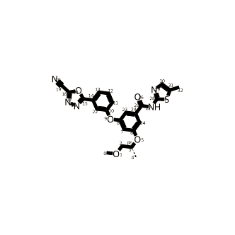 COC[C@@H](C)Oc1cc(Oc2cccc(-c3nnc(C#N)o3)c2)cc(C(=O)Nc2ncc(C)s2)c1